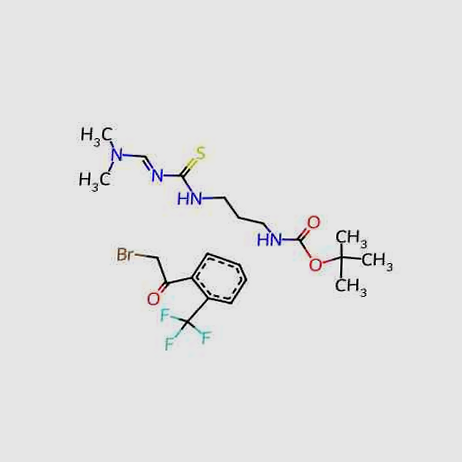 CN(C)C=NC(=S)NCCCNC(=O)OC(C)(C)C.O=C(CBr)c1ccccc1C(F)(F)F